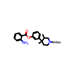 CCCCCCN1CCC(C)(c2cccc(OC(=O)c3ccccc3N)c2)C(C)C1